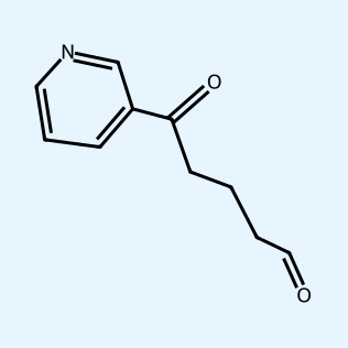 O=CCCCC(=O)c1cccnc1